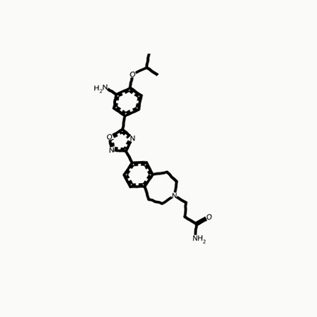 CC(C)Oc1ccc(-c2nc(-c3ccc4c(c3)CCN(CCC(N)=O)CC4)no2)cc1N